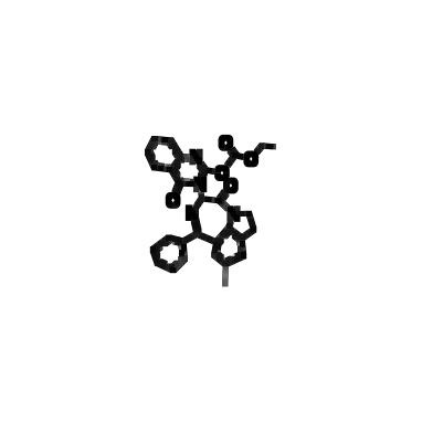 CCOC(=O)Oc1nc2ccccc2c(=O)n1C1N=C(c2ccccc2)c2cc(C)cc3c2N(CC3)C1=O